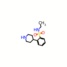 CCNS(=O)(=O)c1ccccc1C1CCNCC1